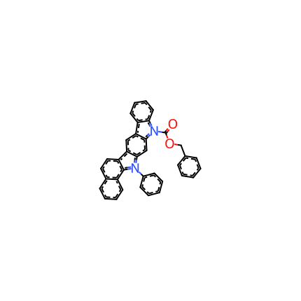 O=C(OCc1ccccc1)n1c2ccccc2c2cc3c4ccc5ccccc5c4n(-c4ccccc4)c3cc21